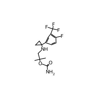 CC(C)(CNC1(c2ccc(F)c(C(F)(F)F)c2)CC1)OC(N)=O